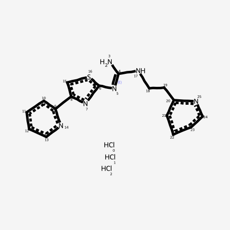 Cl.Cl.Cl.N/C(=N\c1nc(-c2ccccn2)cs1)NCCc1ccccn1